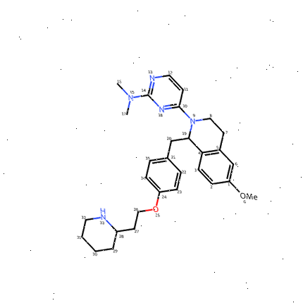 COc1ccc2c(c1)CCN(c1ccnc(N(C)C)n1)C2Cc1ccc(OCCC2CCCCN2)cc1